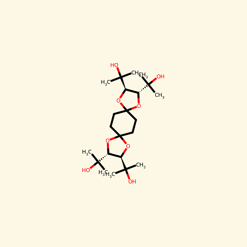 CC(C)(O)[C@@H]1OC2(CCC3(CC2)O[C@@H](C(C)(C)O)[C@H](C(C)(C)O)O3)O[C@H]1C(C)(C)O